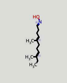 CC/C(C)=C/CC/C(C)=C/CC/C=N/O